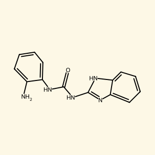 Nc1ccccc1NC(=O)Nc1nc2ccccc2[nH]1